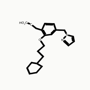 O=C(O)CCc1ccc(Cn2cccn2)cc1OCCCC1CCCCC1